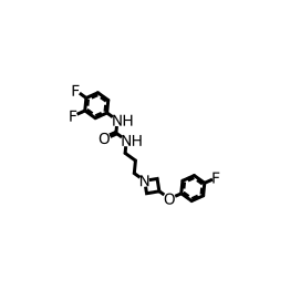 O=C(NCCCN1CC(Oc2ccc(F)cc2)C1)Nc1ccc(F)c(F)c1